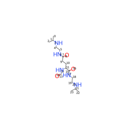 CC(C)NCCNC(=O)CCC(NC=O)C(=O)NCCNC(C)C